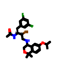 CC(=O)N[C@@H](Cc1cc(F)cc(F)c1)[C@@H](S)CNC1COC(C)(C)c2ccc(OC(C)C)cc21